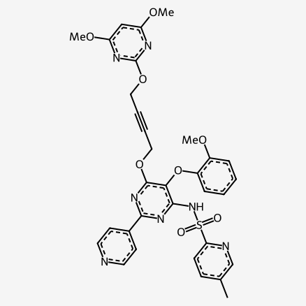 COc1cc(OC)nc(OCC#CCOc2nc(-c3ccncc3)nc(NS(=O)(=O)c3ccc(C)cn3)c2Oc2ccccc2OC)n1